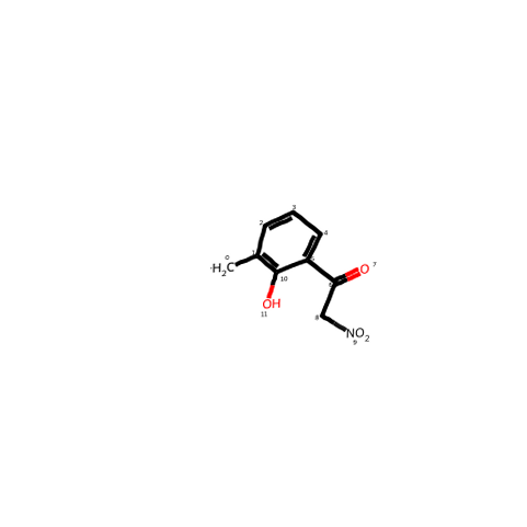 [CH2]c1cccc(C(=O)C[N+](=O)[O-])c1O